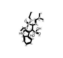 CCOP(=O)(OCC)C(N=CN(C)C)C(c1c[nH]c2ccccc12)P(=O)(O)O